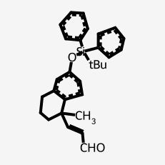 CC1(/C=C/C=O)CCCc2cc(O[Si](c3ccccc3)(c3ccccc3)C(C)(C)C)ccc21